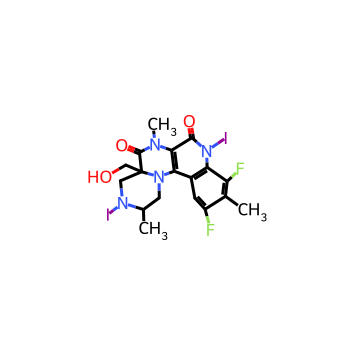 Cc1c(F)cc2c3c(c(=O)n(I)c2c1F)N(C)C(=O)C1(CO)CN(I)C(C)CN31